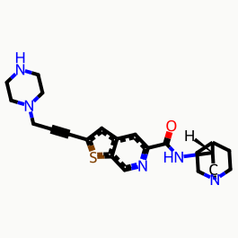 O=C(N[C@H]1CN2CCC1CC2)c1cc2cc(C#CCN3CCNCC3)sc2cn1